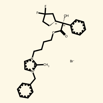 Cc1n(CCCCOC(=O)[C@](O)(c2ccccc2)[C@@H]2CCC(F)(F)C2)cc[n+]1Cc1ccccc1.[Br-]